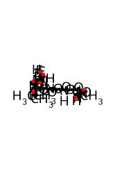 CC(C)N(C)[C@@H]1CC[C@H](N2CC[C@H](Nc3ncnc4ccc(C(F)(F)F)cc34)C2=O)[C@H](NC(=O)COCCNC(=O)CCOCCNC(=O)COCCNC(=O)[C@H]2CC(=O)N(C)[C@@H]2c2cccnc2)C1